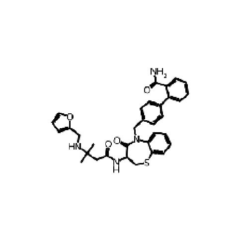 CC(C)(CC(=O)NC1CSc2ccccc2N(Cc2ccc(-c3ccccc3C(N)=O)cc2)C1=O)NCc1ccco1